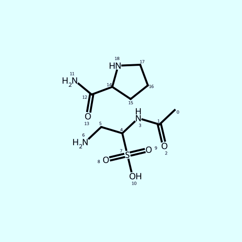 CC(=O)NC(CN)S(=O)(=O)O.NC(=O)C1CCCN1